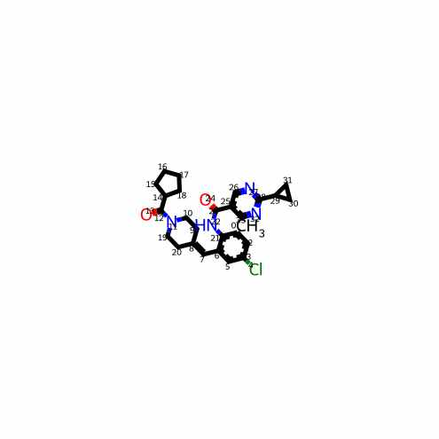 Cc1cc(Cl)cc(C=C2CCN(C(=O)C3CCCC3)CC2)c1NC(=O)c1cnc(C2CC2)nc1